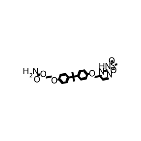 CC(C)(c1ccc(OCCOC(N)=O)cc1)c1ccc(OCc2ccnc(NS(C)(=O)=O)n2)cc1